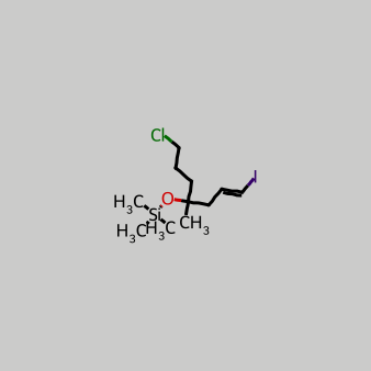 CC(CC=CI)(CCCCl)O[Si](C)(C)C